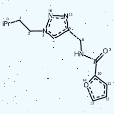 CC(C)CCn1cc(CNC(=O)c2ccco2)nn1